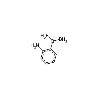 BB(B)c1ccccc1N